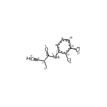 C#CC(I)C(=O)Nc1cccc(Cl)c1Cl